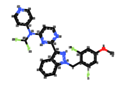 CCOc1cc(F)c(Cn2nc(-c3nccc(N(c4ccncc4)C(F)F)n3)c3ccccc32)c(F)c1